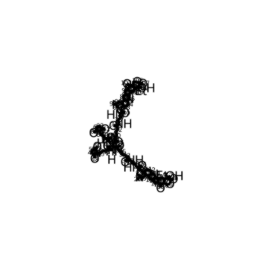 CC[C@@]1(O)C(=O)OCc2c1cc1n(c2=O)Cc2cc3c(CN(C)C)c(OC(=O)NCCNC(=O)CCCNC(=O)[C@@H](NC(=O)CCCN4C(=O)C=CC4=O)[C@H](NC(=O)CCCN4C(=O)C=CC4=O)C(=O)NCCCC(=O)NCCNC(=O)Oc4ccc5nc6c(cc5c4CN(C)C)Cn4c-6cc5c(c4=O)COC(=O)[C@]5(O)CC)ccc3nc2-1